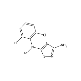 CC(=O)N(c1nc(N)no1)c1c(Cl)cccc1Cl